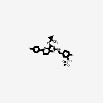 CS(=O)(=O)Nc1cc(CNc2nc(NC3(C(F)(F)F)CC3)c3nc(-c4ccc(F)cc4)ccc3n2)ccc1Cl